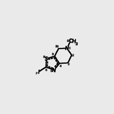 CN1CCc2nc(I)sc2C1